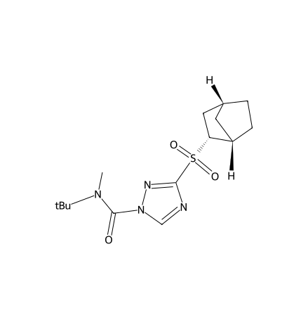 CN(C(=O)n1cnc(S(=O)(=O)[C@@H]2C[C@@H]3CC[C@H]2C3)n1)C(C)(C)C